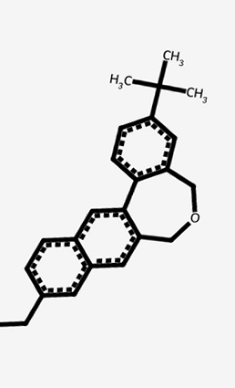 CCc1ccc2cc3c(cc2c1)COCc1cc(C(C)(C)C)ccc1-3